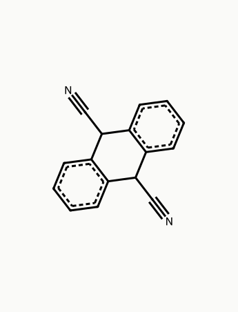 N#CC1c2ccccc2C(C#N)c2ccccc21